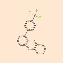 FC(F)(F)c1ccc(-c2cccc3cc4ccccc4cc23)cc1